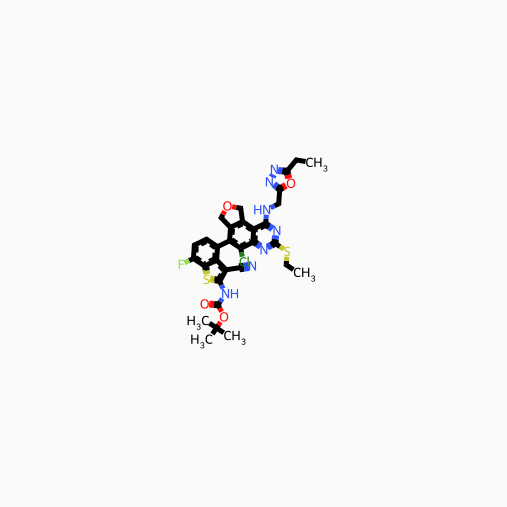 CCSc1nc(NCc2nnc(CC)o2)c2c3c(c(-c4ccc(F)c5sc(NC(=O)OC(C)(C)C)c(C#N)c45)c(Cl)c2n1)COC3